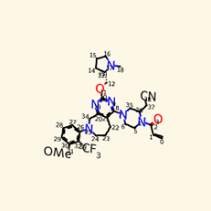 C=CC(=O)N1CCN(c2nc(OC[C@@H]3CCCN3C)nc3c2CCCN(c2cccc(OC)c2C(F)(F)F)C3)CC1CC#N